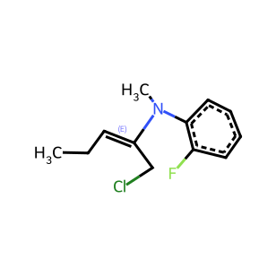 CC/C=C(\CCl)N(C)c1ccccc1F